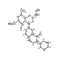 COc1cc(C)c(F)c(N(CCNC(C)C)c2ccc3ncn(-c4cccnc4)c(=O)c3c2)c1F